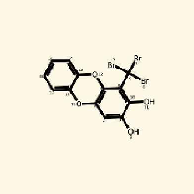 Oc1cc2c(c(C(Br)(Br)Br)c1O)Oc1ccccc1O2